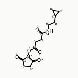 O=C(CCC(=O)ON1C(=O)CCC1=O)NCCC1CC1